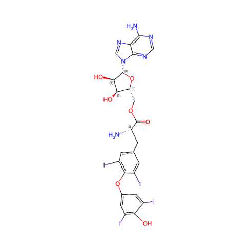 Nc1ncnc2c1ncn2[C@@H]1O[C@H](COC(=O)[C@@H](N)Cc2cc(I)c(Oc3cc(I)c(O)c(I)c3)c(I)c2)[C@@H](O)[C@H]1O